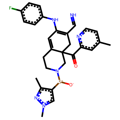 Cc1ccnc(C(=O)C23CC(C=N)=C(Nc4ccc(F)cc4)C=C2CCN([S+]([O-])c2cn(C)nc2C)C3)c1